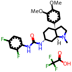 COc1ccc([C@@]23CC[C@@H](NC(=O)Nc4ccc(F)cc4F)C[C@@H]2N(C)CC3)cc1OC.O=C(O)C(F)(F)F